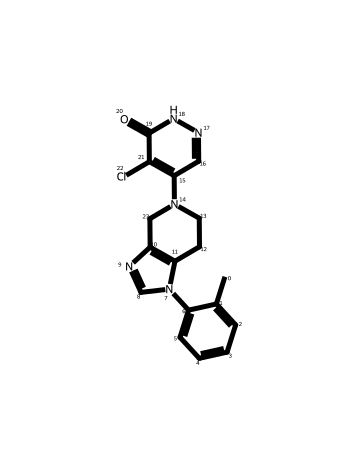 Cc1ccccc1-n1cnc2c1CCN(c1cn[nH]c(=O)c1Cl)C2